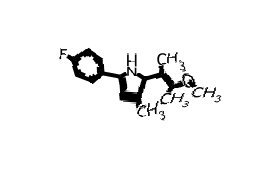 CO/C(C)=C(\C)C1NC(c2ccc(F)cc2)=CC1C